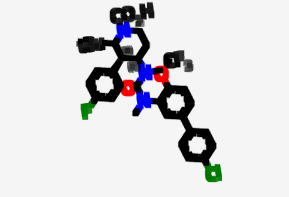 CN(C(=O)N(C)[C@@H]1CCN(C(=O)O)C(C(C)(C)C)[C@@H]1c1ccc(F)cc1)c1cc(-c2ccc(Cl)cc2)ccc1OC(F)(F)F